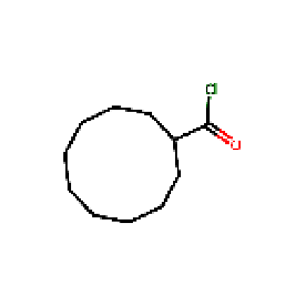 O=C(Cl)C1CCCCCCCCC1